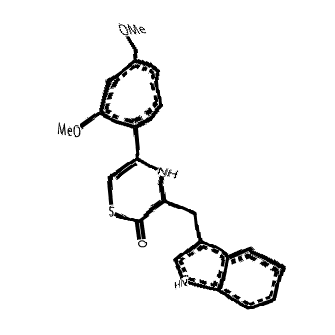 COc1ccc(C2=CSC(=O)C(Cc3c[nH]c4ccccc34)N2)c(OC)c1